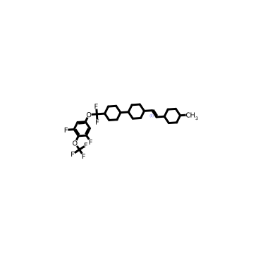 CC1CCC(/C=C/C2CCC(C3CCC(C(F)(F)Oc4cc(F)c(OC(F)(F)F)c(F)c4)CC3)CC2)CC1